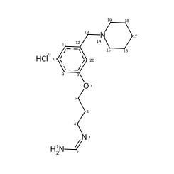 Cl.N/C=N\CCCOc1cccc(CN2CCCCC2)c1